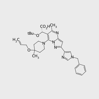 C=CCOC1(C)CCN(c2c([C@H](OC(C)(C)C)C(=O)O)c(C)nc3cc(-c4cn(Cc5ccccc5)cn4)nn23)CC1